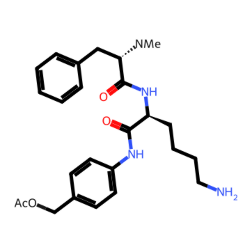 CN[C@@H](Cc1ccccc1)C(=O)N[C@@H](CCCCN)C(=O)Nc1ccc(COC(C)=O)cc1